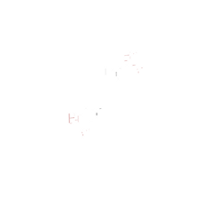 BrC(Br)[13CH2]CCCC[13CH2]C(Br)Br